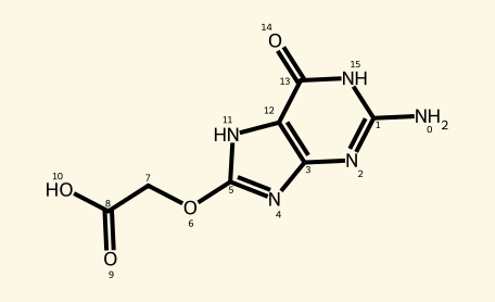 Nc1nc2nc(OCC(=O)O)[nH]c2c(=O)[nH]1